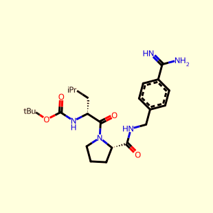 CC(C)C[C@@H](NC(=O)OC(C)(C)C)C(=O)N1CCC[C@H]1C(=O)NCc1ccc(C(=N)N)cc1